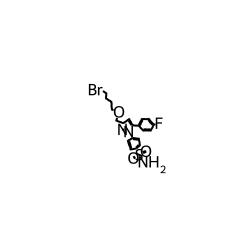 NS(=O)(=O)c1ccc(-n2nc(COCCCCBr)cc2-c2ccc(F)cc2)cc1